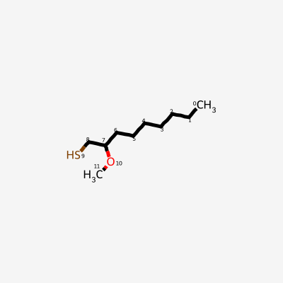 CCCCCCCC(CS)OC